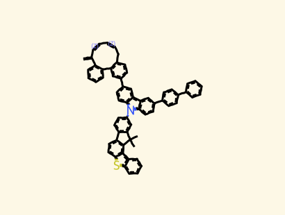 C=C1/C=C\C=C/Cc2ccc(-c3ccc4c(c3)c3cc(-c5ccc(-c6ccccc6)cc5)ccc3n4-c3ccc4c(c3)C(C)(C)c3c-4ccc4sc5ccccc5c34)cc2-c2ccccc21